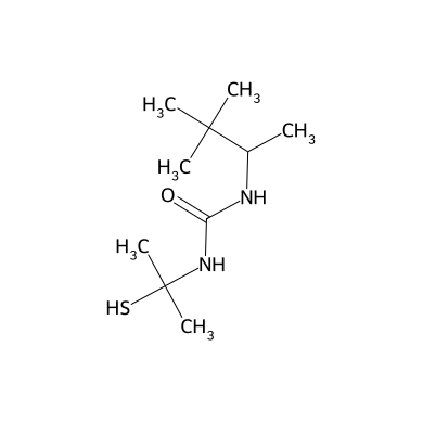 CC(NC(=O)NC(C)(C)S)C(C)(C)C